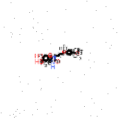 CCCc1cc(C(OCC)(C(F)(F)F)C(F)(F)F)ccc1OCCCCN1C(=O)NC(C)(c2ccc(O)c(O)c2)C1=O